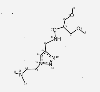 COCC(COC)ONCc1cn(CCN(C)C)nn1